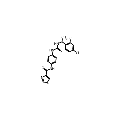 CC(NC(=S)Nc1ccc(NC(=O)c2cscn2)cc1)c1ccc(Cl)cc1Cl